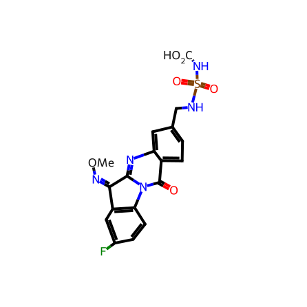 CO/N=C1/c2cc(F)ccc2-n2c1nc1cc(CNS(=O)(=O)NC(=O)O)ccc1c2=O